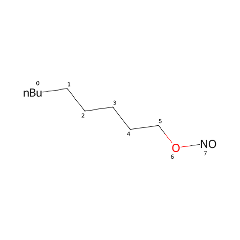 CCCCCCCCCON=O